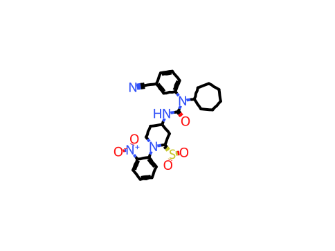 N#Cc1cccc(N(C(=O)NC2CCN(c3ccccc3[N+](=O)[O-])C(=S(=O)=O)C2)C2CCCCCC2)c1